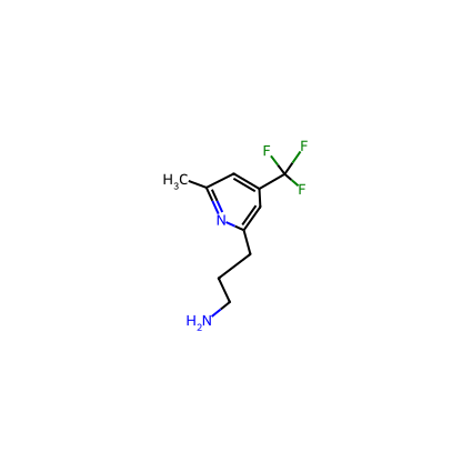 Cc1cc(C(F)(F)F)cc(CCCN)n1